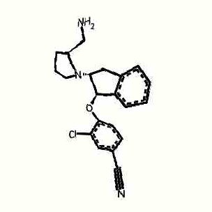 N#Cc1ccc(O[C@@H]2c3ccccc3C[C@H]2N2CCC[C@H]2CN)c(Cl)c1